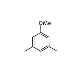 [CH2]Oc1cc(C)c(C)c(C)c1